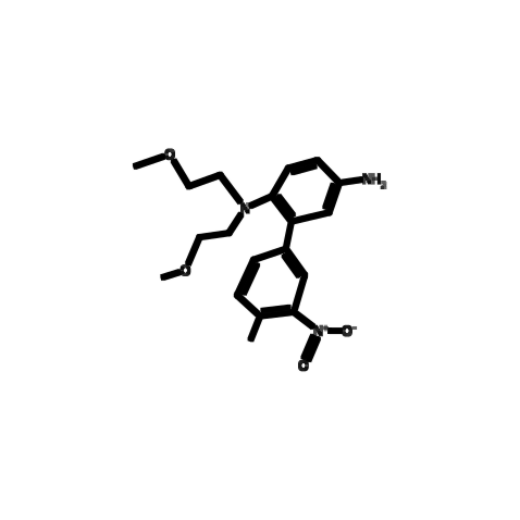 COCCN(CCOC)c1ccc(N)cc1-c1ccc(C)c([N+](=O)[O-])c1